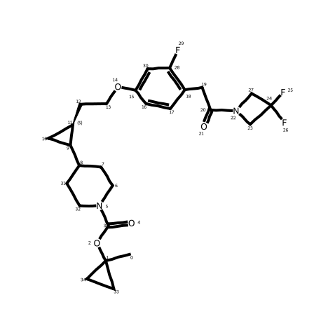 CC1(OC(=O)N2CCC(C3C[C@H]3CCOc3ccc(CC(=O)N4CC(F)(F)C4)c(F)c3)CC2)CC1